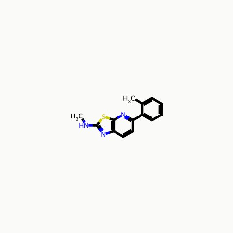 CNc1nc2ccc(-c3ccccc3C)nc2s1